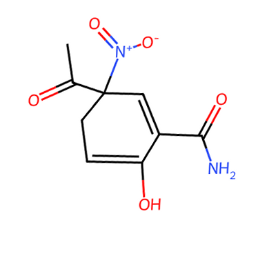 CC(=O)C1([N+](=O)[O-])C=C(C(N)=O)C(O)=CC1